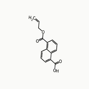 C=CCOC(=O)c1cccc2c(C(=O)O)cccc12